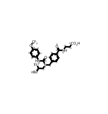 CCCCC(CC)CN(Cc1ccc(C(=O)NCCC(=O)O)cc1)C(=O)Nc1ccc(OC(F)(F)F)cc1